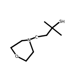 CC(C)(S)CCN1CCOCC1